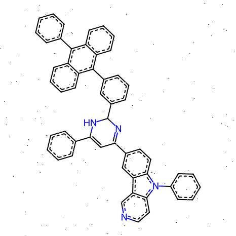 C1=C(c2ccccc2)NC(c2cccc(-c3c4ccccc4c(-c4ccccc4)c4ccccc34)c2)N=C1c1ccc2c(c1)c1cnccc1n2-c1ccccc1